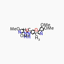 COc1ccc(NC(=O)Nc2cc(C)c(Oc3ccnc4cc(OC)c(OC)cc34)cc2C)c(OC)n1